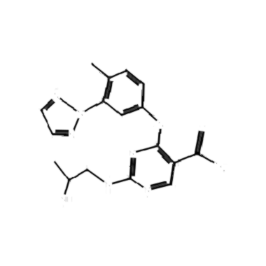 Cc1ccc(Nc2nc(NCC(C)N)ncc2C(N)=O)cc1-n1nccn1